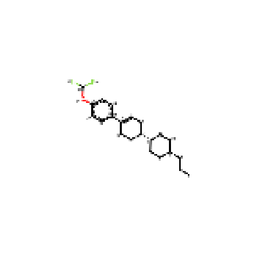 CCC[C@H]1CC[C@H](C2CC=C(c3ccc(OC(F)F)cc3)CC2)CC1